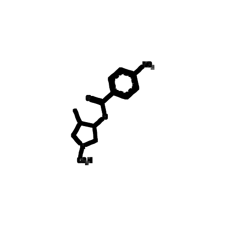 CC1CN(C(=O)O)CC1OC(=O)c1ccc([N+](=O)[O-])cc1